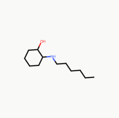 CCCCCCNC1CCCCC1O